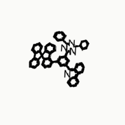 c1ccc(-c2nc(-c3ccccc3)nc(-c3cc(-c4cccc5c4-c4ccccc4C54c5ccccc5-c5ccccc54)cc(-c4nc5ccccc5c5ccccc45)c3)n2)cc1